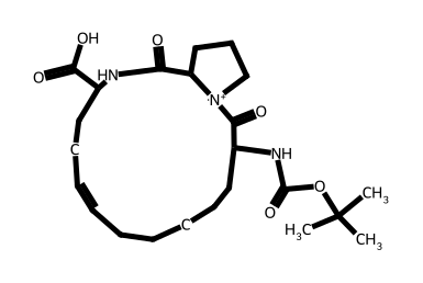 CC(C)(C)OC(=O)NC1CCCCCC=CCCC(C(=O)O)NC(=O)C2CCC[N+]2C1=O